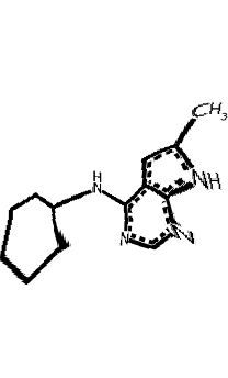 Cc1cc2c(NC3CCCCC3)ncnc2[nH]1